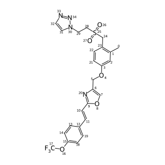 Cc1cc(OCc2coc(/C=C/c3ccc(OC(F)(F)F)cc3)n2)ccc1CS(=O)(=O)CCn1ccnn1